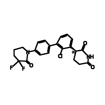 O=C1CC[C@@H](c2cccc(-c3ccc(N4CCCC(F)(F)C4=O)cc3)c2Cl)C(=O)N1